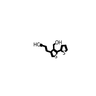 C#CC=Cc1csc(-c2cccs2)c1CO